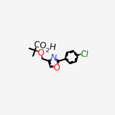 CC(C)(OCc1coc(-c2ccc(Cl)cc2)n1)C(=O)O